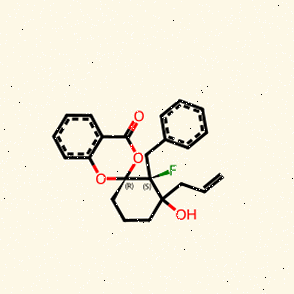 C=CCC1(O)CCC[C@@]2(OC(=O)c3ccccc3O2)[C@]1(F)Cc1ccccc1